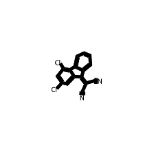 N#CC(C#N)=C1c2ccccc2-c2c(Cl)cc(Cl)cc21